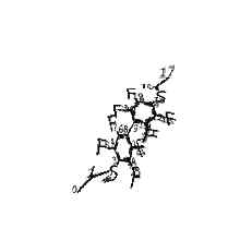 CCSc1c(F)c(F)c(-c2c(F)c(F)c(SCC)c(F)c2F)c(F)c1F